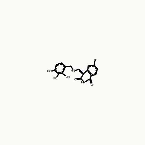 O=C1NC(=O)c2ccc(Br)cc2/C1=C/NCc1ccc(O)c(O)c1O